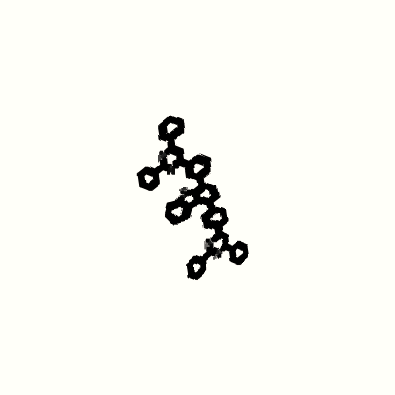 c1ccc(-c2cc(-c3ccc(-c4ccc(-c5cccc(-c6cc(-c7ccccc7)nc(-c7ccccc7)n6)c5)c5sc6ccccc6c45)cc3)nc(-c3ccccc3)n2)cc1